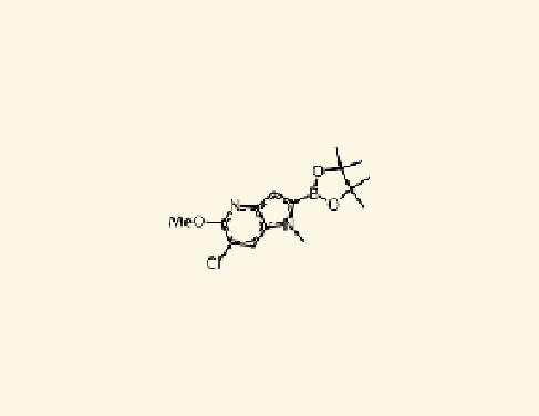 COc1nc2cc(B3OC(C)(C)C(C)(C)O3)n(C)c2cc1Cl